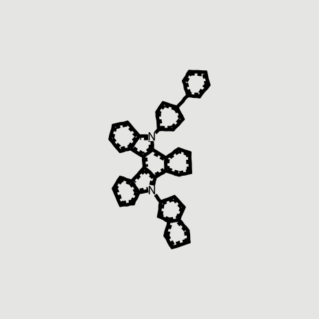 c1ccc(-c2ccc(-n3c4ccccc4c4c5c6ccccc6n(-c6ccc7ccccc7c6)c5c5ccccc5c43)cc2)cc1